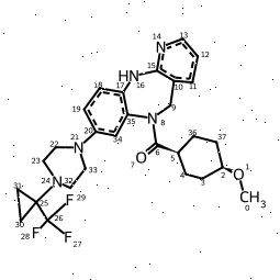 CO[C@H]1CC[C@@H](C(=O)N2Cc3cccnc3Nc3ccc(N4CCN(C5(C(F)(F)F)CC5)CC4)cc32)CC1